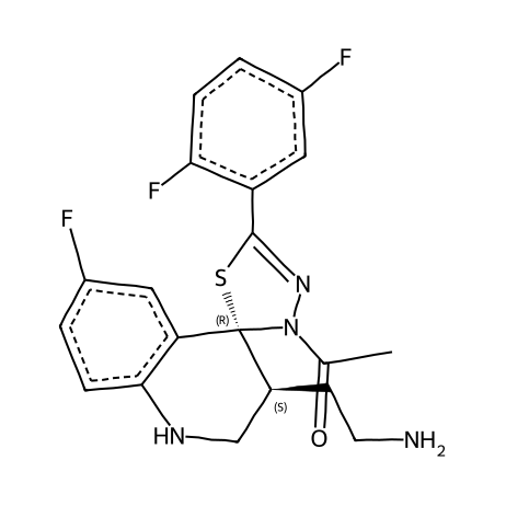 CC(=O)N1N=C(c2cc(F)ccc2F)S[C@]12c1cc(F)ccc1NC[C@@H]2CCN